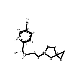 C[C@@H](OCCN1CCC2(CC2)C1)c1ccc(Br)cn1